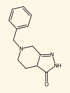 O=C1NN=C2CN(Cc3ccccc3)CCC12